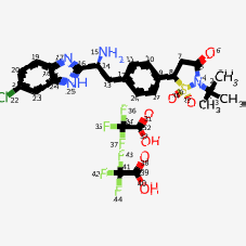 CC(C)(C)N1C(=O)CC(c2ccc(C[C@H](N)c3nc4ccc(Cl)cc4[nH]3)cc2)S1(=O)=O.O=C(O)C(F)(F)F.O=C(O)C(F)(F)F